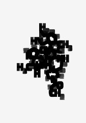 C=CC(=O)N1CCN2C(=N)c3c(Nc4c(C)ccnc4C(C)O)nc(-c4c(C)ccc(N)c4C=N)c(Cl)c3NCCC2C1